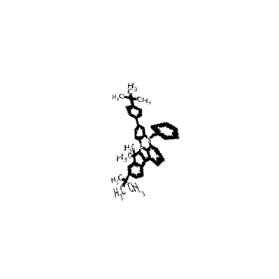 CC(C)(C)c1ccc(-c2ccc3c(c2)N(c2ccccc2)c2cccc4c2B3C2=C4c3ccc(C(C)(C)C)cc3C2(C)C)cc1